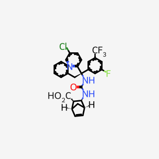 O=C(N[C@@H]1[C@H](C(=O)O)[C@@H]2C=C[C@H]1C2)N[C@@](Cc1ccccc1)(c1cc(F)cc(C(F)(F)F)c1)c1ccc(Cl)cn1